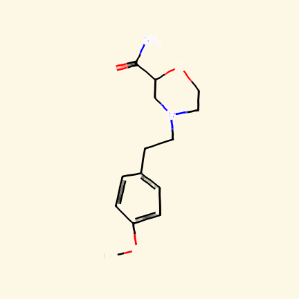 COc1ccc(CCN2CCOC(C(N)=O)C2)cc1